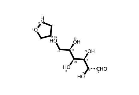 C1CNOC1.O=C[C@H](O)[C@H](O)[C@@H](O)[C@H](O)CO